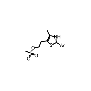 CC(=O)C1NC(C)=C(CCOS(C)(=O)=O)S1